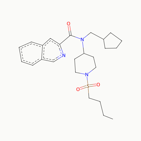 CCCCS(=O)(=O)N1CCC(N(CC2CCCC2)C(=O)c2cc3ccccc3cn2)CC1